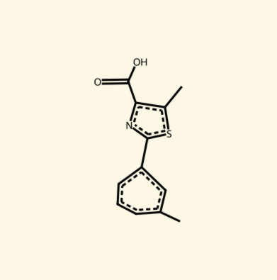 Cc1cccc(-c2nc(C(=O)O)c(C)s2)c1